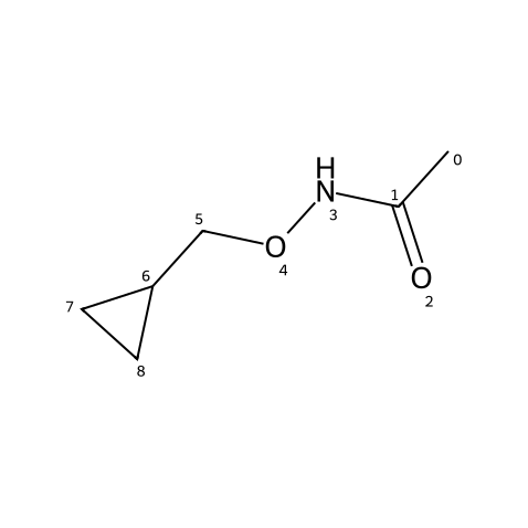 CC(=O)NOCC1CC1